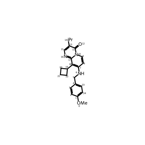 COc1ccc(CNc2ccn3c(=O)c(C(C)C)cnc3c2C2CCC2)cc1